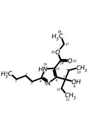 CCCCc1nc(C(O)(CC)CC)c(C(=O)OCC)[nH]1